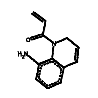 C=CC(=O)N1CC=Cc2cccc(N)c21